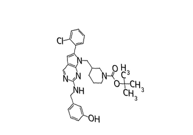 CC(C)(C)OC(=O)N1CCCC(Cn2c(-c3ccccc3Cl)cc3cnc(NCc4cccc(O)c4)nc32)C1